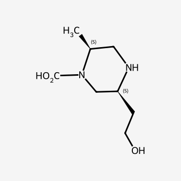 C[C@H]1CN[C@@H](CCO)CN1C(=O)O